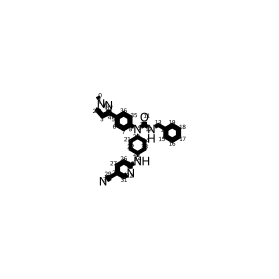 Cn1ccc(-c2ccc(N(C(=O)NCc3ccccc3)[C@H]3CC[C@H](Nc4ccc(C#N)cn4)CC3)cc2)n1